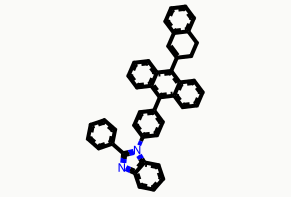 C1=C(c2c3ccccc3c(-c3ccc(-n4c(-c5ccccc5)nc5ccccc54)cc3)c3ccccc23)CCc2ccccc21